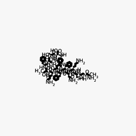 CC(N)C(=O)NCC(=O)N[C@@H](CS)C(=O)N[C@@H](CCCCN)C(=O)N[C@@H](CC(N)=O)C(=O)N[C@@H](Cc1ccccc1)C(=O)N[C@@H](Cc1ccccc1)C(=O)NC(Cc1c[nH]c2cc(F)ccc12)C(=O)N[C@@H](CCCCN)C(=O)N[C@H](C(=O)N[C@@H](Cc1ccccc1)C(=O)N[C@H](C(=O)N[C@@H](CO)C(=O)N[C@@H](CS)C(=O)O)C(C)O)C(C)O